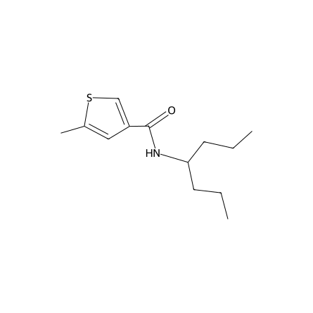 CCCC(CCC)NC(=O)c1csc(C)c1